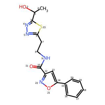 CC(O)c1nnc(CCNC(=O)c2cc(-c3ccccc3)on2)s1